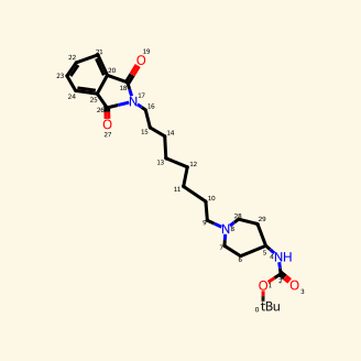 CC(C)(C)OC(=O)NC1CCN(CCCCCCCCN2C(=O)c3ccccc3C2=O)CC1